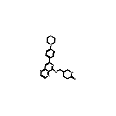 O=C1CCC(COc2nc(-c3ccc(N4CCOCC4)cc3)cc3nccnc23)CN1